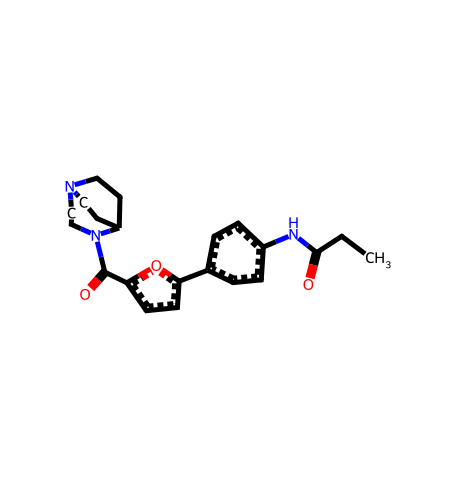 CCC(=O)Nc1ccc(-c2ccc(C(=O)N3CCN4CCC3CC4)o2)cc1